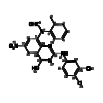 Cc1ccccc1N(C=O)c1cc([N+](=O)[O-])cc2c(O)nc(Nc3ccc(Cl)c(Cl)c3)nc12